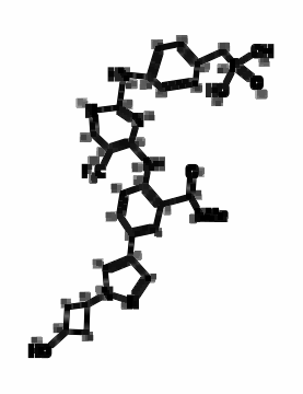 CNC(=O)c1cc(-c2cnn(C3CC(O)C3)c2)ccc1Nc1nc(Nc2ccc(CP(=O)(O)O)cc2)ncc1C(F)(F)F